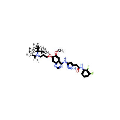 [CH2]C(N(CCCOc1cc2ncnc(Nc3cc(CC(=O)Nc4cccc(F)c4F)[nH]n3)c2cc1OC)C(C)C)(C(C)(C)C)C(C)(C)C